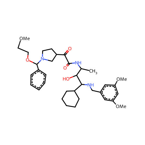 COCCOC(c1ccccc1)N1CCC(C(=O)C(=O)NC(C)C(O)C(NCc2cc(OC)cc(OC)c2)C2CCCCC2)C1